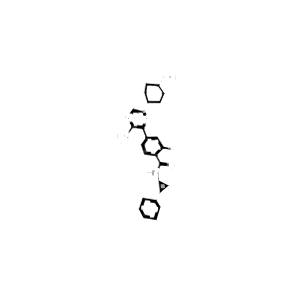 Nc1ncc([C@H]2CC[C@H](O)CC2)nc1-c1ccc(C(=O)N[C@H]2C[C@@H]2c2ccccc2)c(F)c1